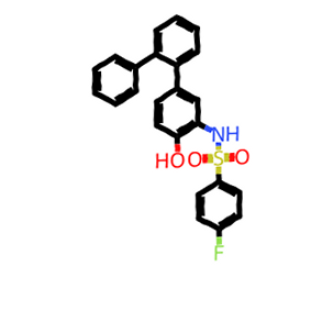 O=S(=O)(Nc1cc(-c2ccccc2-c2ccccc2)ccc1O)c1ccc(F)cc1